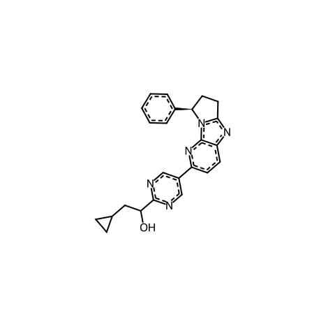 OC(CC1CC1)c1ncc(-c2ccc3nc4n(c3n2)[C@@H](c2ccccc2)CC4)cn1